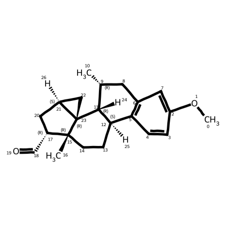 COc1ccc2c(c1)C[C@@H](C)[C@@H]1[C@@H]2CC[C@]2(C)[C@H](C=O)C[C@H]3C[C@@]312